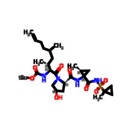 C=CCCC(C)C[C@@H](C)[C@H](NC(=O)OC(C)(C)C)C(=O)N1C[C@H](O)C[C@H]1C(=O)N[C@]1(C(=O)NS(=O)(=O)C2(C)CC2)C[C@H]1C